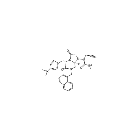 CNC(=O)N(CC#N)N1CC(=O)N2[C@@H](Cc3ccc(N(C)C)cc3)C(=O)N(Cc3cccc4ccccc34)C[C@@H]21